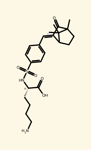 CC12CCC(/C(=C\c3ccc(S(=O)(=O)N[C@@H](CCCCN)C(=O)O)cc3)C1=O)C2(C)C